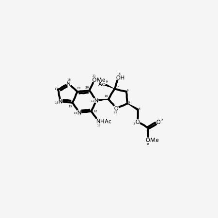 COC(=O)OC[C@@H]1C[C@](O)(C(C)=O)[C@H](n2c(NC(C)=O)nc3ncnc-3c2OC)O1